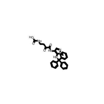 Cn1ncc(NC(=O)C(=O)CCNC(=O)O)c1NC(c1ccccc1)(c1ccccc1)c1ccccc1